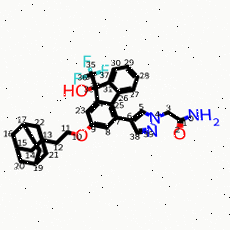 NC(=O)Cn1cc(-c2cc(OCCC34CC5CC(CC(C5)C3)C4)cc3c2-c2ccccc2C3(O)C(F)(F)F)cn1